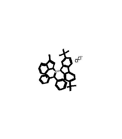 CC1=C[CH]([Zr+2](=[C](c2ccccc2)c2ccccc2)[CH]2c3cc(C(C)(C)C)ccc3-c3ccc(C(C)(C)C)cc32)c2c(C)cccc21.[Cl-].[Cl-]